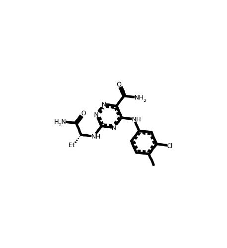 CC[C@@H](Nc1nnc(C(N)=O)c(Nc2ccc(C)c(Cl)c2)n1)C(N)=O